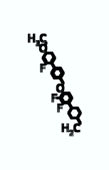 C=CC1CCC(c2ccc(OCc3ccc(C4=CCC(OCC)C=C4F)cc3)c(F)c2F)CC1